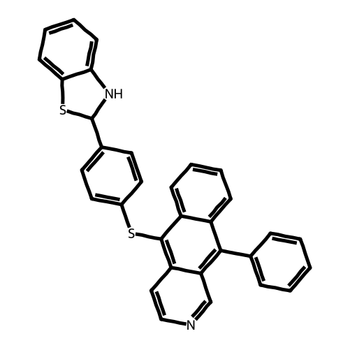 c1ccc(-c2c3ccccc3c(Sc3ccc(C4Nc5ccccc5S4)cc3)c3ccncc23)cc1